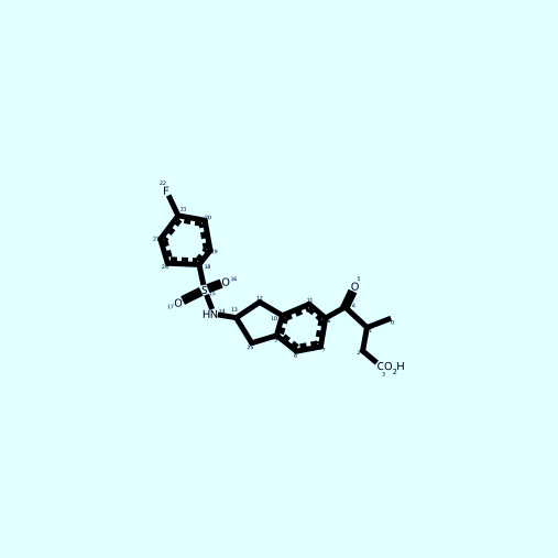 CC(CC(=O)O)C(=O)c1ccc2c(c1)CC(NS(=O)(=O)c1ccc(F)cc1)C2